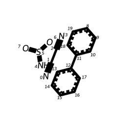 N#CC#N.N=S(=O)=O.c1ccc(-c2ccccc2)cc1